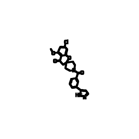 COc1cc(Cl)cc2c1C(=O)CC1(CCN(C(=O)c3cccc(-c4ccn[nH]4)c3)CC1)O2